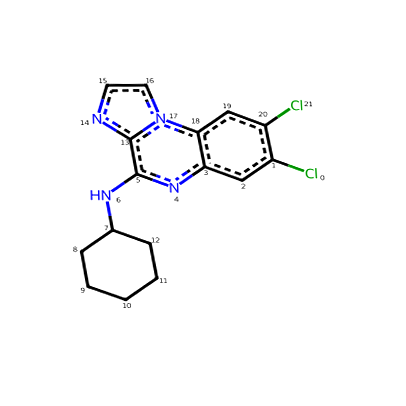 Clc1cc2nc(NC3CCCCC3)c3nccn3c2cc1Cl